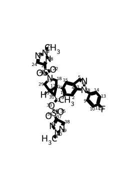 Cc1cc2c(cnn2-c2ccc(F)cc2)cc1[C@@]12CN(S(=O)(=O)c3cnn(C)n3)C[C@@H]1[C@H]2COS(=O)(=O)c1cnn(C)n1